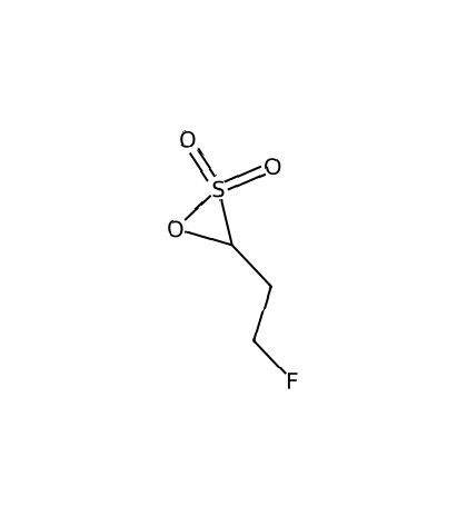 O=S1(=O)OC1CCF